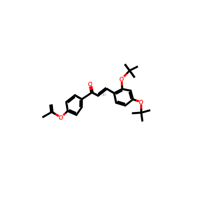 C=C(C)Oc1ccc(C(=O)/C=C/c2ccc(OC(C)(C)C)cc2OC(C)(C)C)cc1